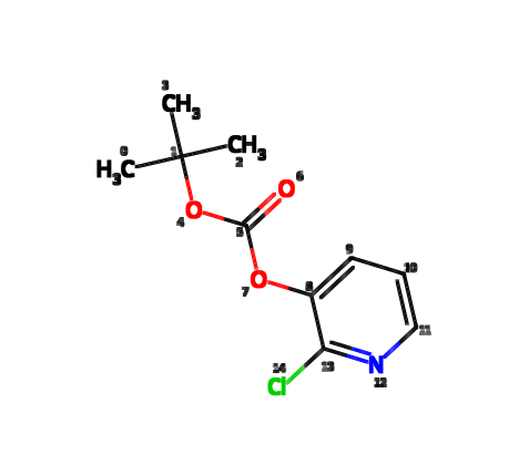 CC(C)(C)OC(=O)Oc1cccnc1Cl